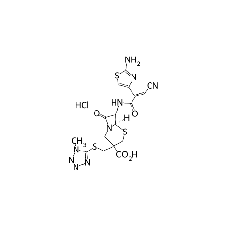 Cl.Cn1nnnc1SCC1(C(=O)O)CS[C@@H]2C(NC(=O)C(=CC#N)c3csc(N)n3)C(=O)N2C1